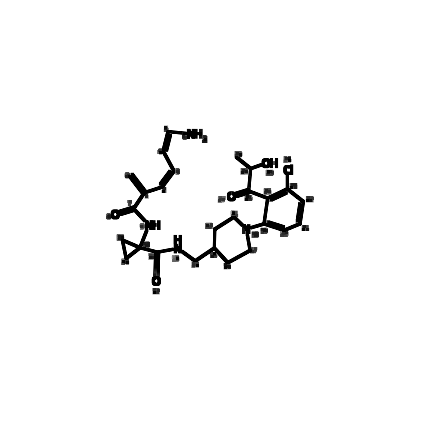 C=C(/C=C\C=C/N)C(=O)NC1(C(=O)NCC2CCN(c3cccc(Cl)c3C(=O)C(C)O)CC2)CC1